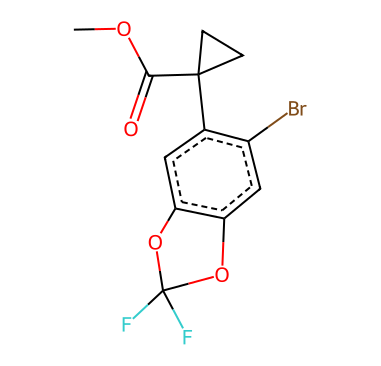 COC(=O)C1(c2cc3c(cc2Br)OC(F)(F)O3)CC1